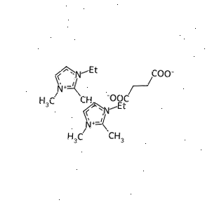 CCn1cc[n+](C)c1C.CCn1cc[n+](C)c1C.O=C([O-])CCC(=O)[O-]